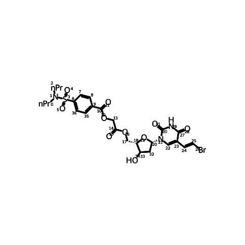 CCCN(CCC)S(=O)(=O)c1ccc(C(=O)OCC(=O)OC[C@@H]2O[C@H](n3cc(/C=C/Br)c(=O)[nH]c3=O)CC2O)cc1